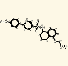 COc1ccc(-c2ccc(S(=O)(=O)NC3CCCc4c(OCC(=O)O)cccc43)cn2)cc1